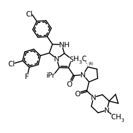 CC(C)C1=C(C(=O)N2C(C(=O)N3CCN(C)C4(CC4)C3)CC[C@H]2C)SC2NC(c3ccc(Cl)cc3)C(c3ccc(Cl)c(F)c3)N12